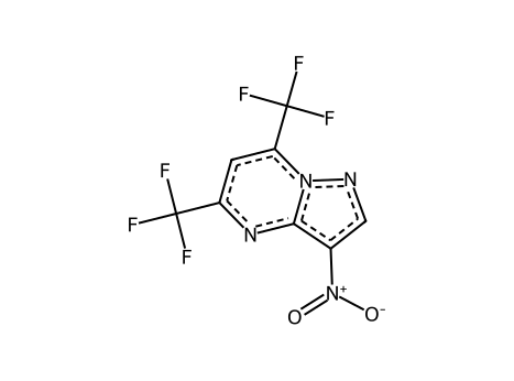 O=[N+]([O-])c1cnn2c(C(F)(F)F)cc(C(F)(F)F)nc12